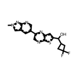 Cn1cc2cc(-c3cnc4sc(C(O)C5CC(F)(F)C5)cc4n3)cnc2n1